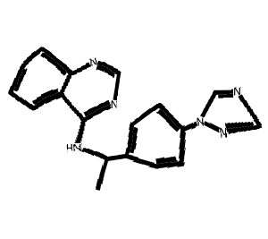 CC(Nc1ncnc2ccccc12)c1ccc(-n2cncn2)cc1